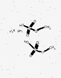 COS(=O)(=O)O.COS(=O)(=O)O.N.N